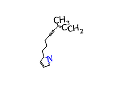 C=C=C(C)C#CCCCC1C=CC=N1